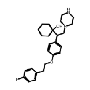 OC1(C(CN2CCNCC2)c2ccc(OCCc3ccc(F)cc3)cc2)CCCCC1